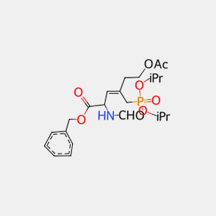 CC(=O)OCCC(=CC(NC=O)C(=O)OCc1ccccc1)CP(=O)(OC(C)C)OC(C)C